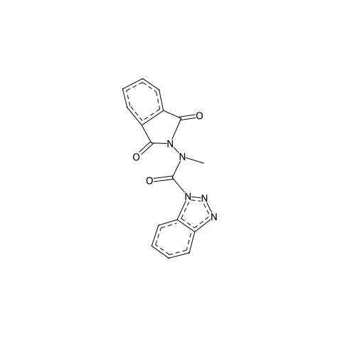 CN(C(=O)n1nnc2ccccc21)N1C(=O)c2ccccc2C1=O